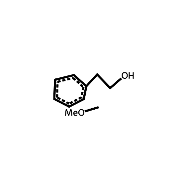 COC.OCCc1ccccc1